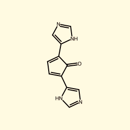 O=C1C(c2cnc[nH]2)=CC=C1c1cnc[nH]1